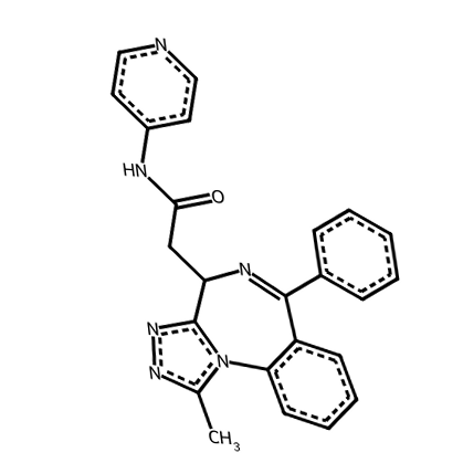 Cc1nnc2n1-c1ccccc1C(c1ccccc1)=NC2CC(=O)Nc1ccncc1